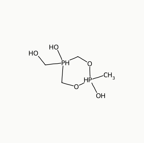 C[PH]1(O)OC[PH](O)(CO)CO1